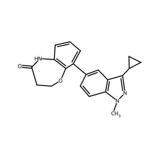 Cn1nc(C2CC2)c2cc(-c3cccc4c3OCCC(=O)N4)ccc21